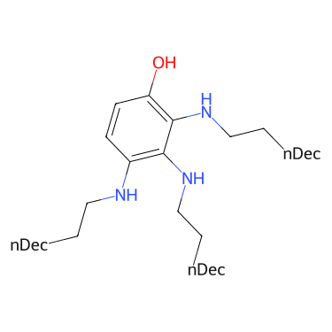 CCCCCCCCCCCCNc1ccc(O)c(NCCCCCCCCCCCC)c1NCCCCCCCCCCCC